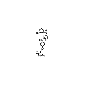 CNC(=O)OCOc1ccc(Nc2ncc(F)c(Nc3cccc(O)c3)n2)cc1